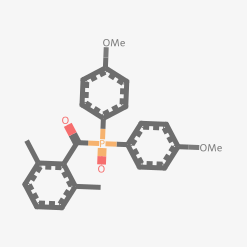 COc1ccc(P(=O)(C(=O)c2c(C)cccc2C)c2ccc(OC)cc2)cc1